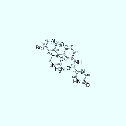 NC1=NCC[C@]2(O1)c1cc(NC(=O)c3c[nH]c(=O)cn3)ccc1Oc1ncc(Br)cc12